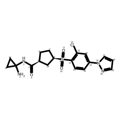 NC1(NC(=O)[C@H]2CC[C@@H](S(=O)(=O)c3ccc(-n4cccn4)cc3Cl)C2)CC1